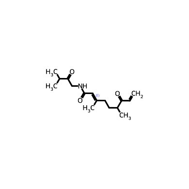 C=CC(=O)C(C)CC/C(C)=C/C(=O)NCC(=O)C(C)C